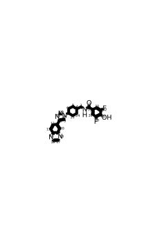 O=C(NCC1CCC(n2cc(-c3ccc4nccnc4c3)nn2)CC1)c1cc(F)c(O)c(F)c1